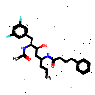 CCCC(C[C@H](O)[C@H](Cc1cc(F)cc(F)c1)NC(C)=O)NC(=O)CCCc1ccccc1